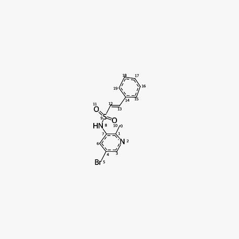 Cc1ncc(Br)cc1NS(=O)(=O)C=Cc1ccccc1